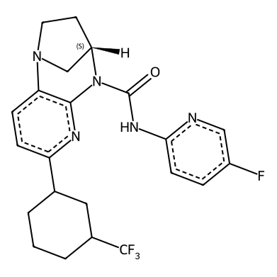 O=C(Nc1ccc(F)cn1)N1c2nc(C3CCCC(C(F)(F)F)C3)ccc2N2CC[C@H]1C2